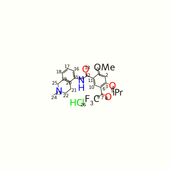 COc1cc(OC(C)C)c(C(=O)C(F)(F)F)cc1C(=O)Nc1cccc2c1CCN(C)C2.Cl